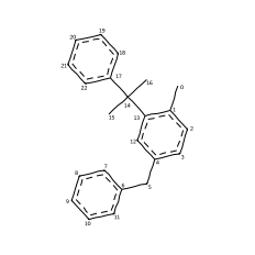 Cc1ccc(Cc2ccccc2)cc1C(C)(C)c1ccccc1